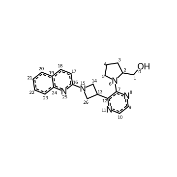 OCC1CCCN1c1nccnc1C1CN(c2ccc3ccccc3n2)C1